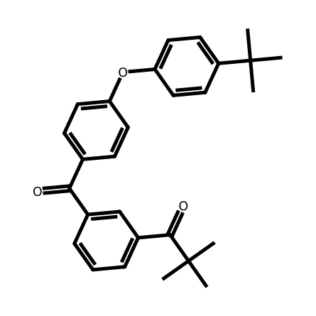 CC(C)(C)C(=O)c1cccc(C(=O)c2ccc(Oc3ccc(C(C)(C)C)cc3)cc2)c1